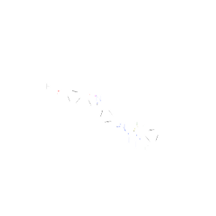 FC(F)(F)Oc1ccc(-c2onc3c2CCc2cc(/C=N/NC(=S)Nc4c(Cl)cccc4Cl)ccc2-3)cc1